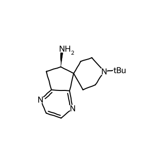 CC(C)(C)N1CCC2(CC1)c1nccnc1C[C@H]2N